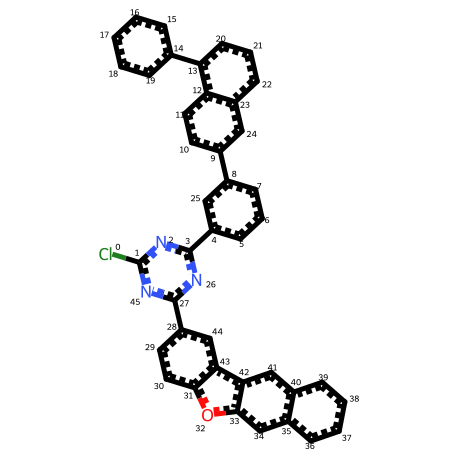 Clc1nc(-c2cccc(-c3ccc4c(-c5ccccc5)cccc4c3)c2)nc(-c2ccc3oc4cc5ccccc5cc4c3c2)n1